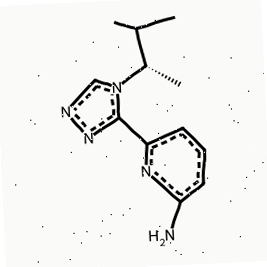 CC(C)[C@H](C)n1cnnc1-c1cccc(N)n1